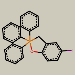 Ic1ccc2c(c1)CP(c1ccccc1)(c1ccccc1)(c1ccccc1)O2